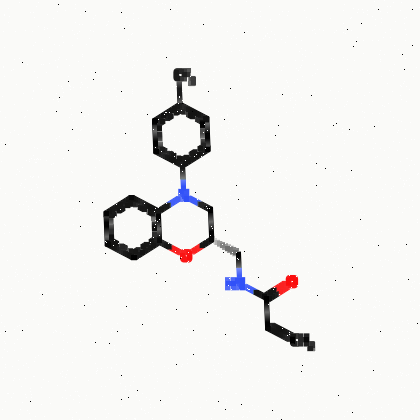 C=CC(=O)NC[C@H]1CN(c2ccc(C(F)(F)F)cc2)c2ccccc2O1